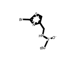 CC(C)(C)[S+]([O-])NCc1csc(Br)n1